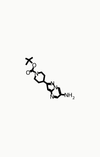 CC(C)(C)OC(=O)N1CCC(c2cc3ncc(N)cn3n2)CC1